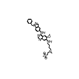 COc1cc2c(Nc3ccc4c(cnn4Cc4ccccc4)c3)ncnc2cc1NCCCCN(C)CCS(C)(=O)=O